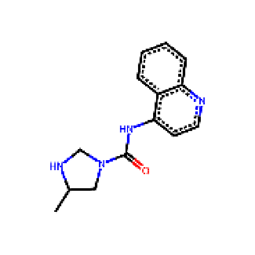 CC1CN(C(=O)Nc2ccnc3ccccc23)CN1